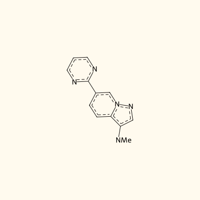 CNc1cnn2cc(-c3ncccn3)ccc12